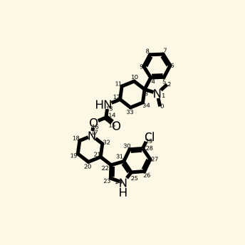 CN(C)C1(c2ccccc2)CCC(NC(=O)ON2CCCC(c3c[nH]c4ccc(Cl)cc34)C2)CC1